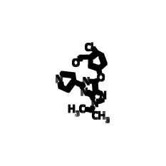 CC(C)n1cnc2c(Oc3ccc(Cl)c(C=O)c3)nc(-c3ccncc3)nc21